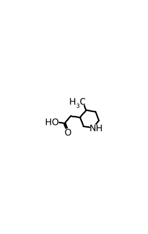 CC1CCNCC1CC(=O)O